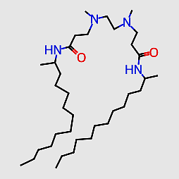 CCCCCCCCCCCC(C)NC(=O)CCN(C)CCN(C)CCC(=O)NC(C)CCCCCCCCCCC